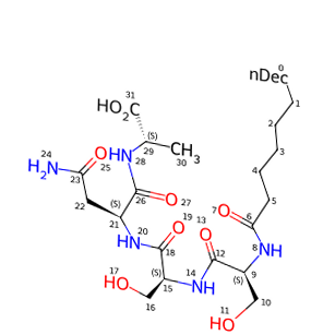 CCCCCCCCCCCCCCCC(=O)N[C@@H](CO)C(=O)N[C@@H](CO)C(=O)N[C@@H](CC(N)=O)C(=O)N[C@@H](C)C(=O)O